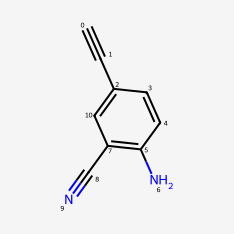 C#Cc1ccc(N)c(C#N)c1